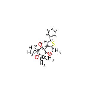 Cc1sc(-c2ccccc2)cc1C1C(=O)C(C)(C)C(=O)C(C)(C)C1=O